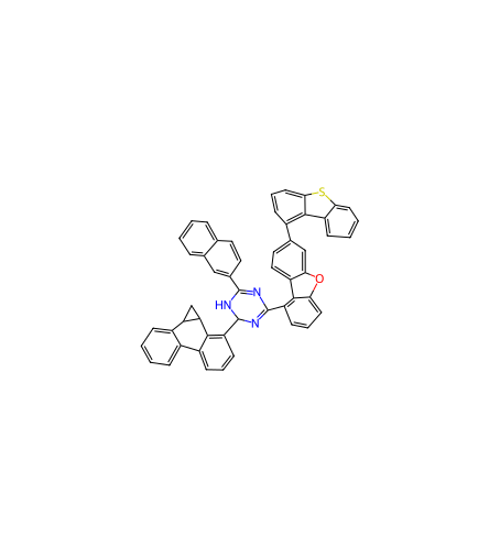 c1ccc2c(c1)-c1cccc(C3N=C(c4cccc5oc6cc(-c7cccc8sc9ccccc9c78)ccc6c45)N=C(c4ccc5ccccc5c4)N3)c1C1CC21